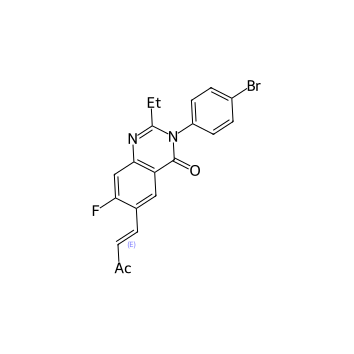 CCc1nc2cc(F)c(/C=C/C(C)=O)cc2c(=O)n1-c1ccc(Br)cc1